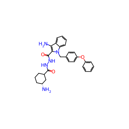 Nc1c(C(=O)NNC(=O)C2CCC[C@@H](N)C2)n(Cc2ccc(Oc3ccccc3)cc2)c2ccccc12